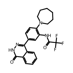 O=C(Nc1cc(-c2n[nH]c(=O)c3ccccc23)ccc1N1CCCCCC1)C(F)(F)F